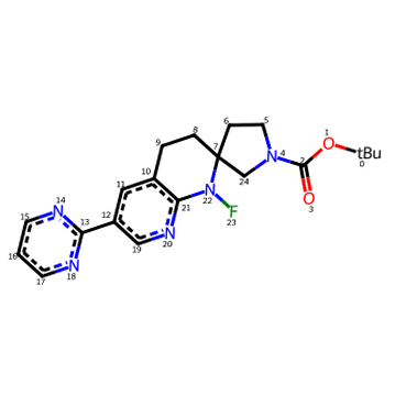 CC(C)(C)OC(=O)N1CCC2(CCc3cc(-c4ncccn4)cnc3N2F)C1